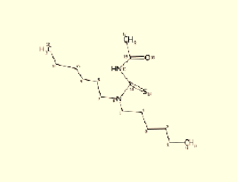 CCCCCCN(CCCCCC)C(=S)NC(C)=O